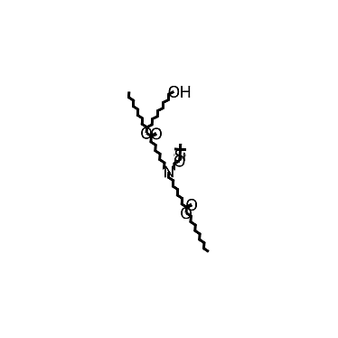 CCCCCCCCCOC(=O)CCCCCCCN(CCCCCCCC(=O)OC(CCCCCCCC)CCCCCCCCO)CCO[Si](C)(C)C(C)(C)C